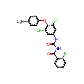 O=C(NC(=O)c1ccccc1Cl)Nc1cc(Cl)c(Oc2ccc([N+](=O)[O-])cc2)c(Cl)c1